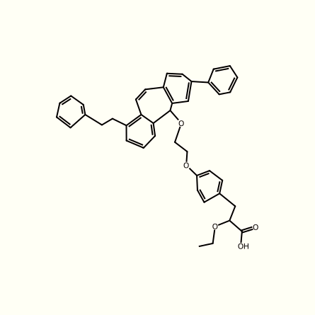 CCOC(Cc1ccc(OCCOC2c3cc(-c4ccccc4)ccc3C=Cc3c(CCc4ccccc4)cccc32)cc1)C(=O)O